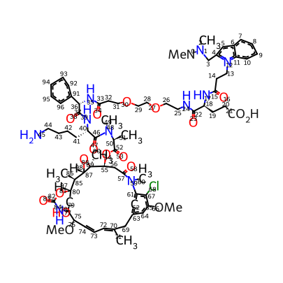 CNN(C)Cc1cc2ccccc2n1CCC(=O)N[C@@H](CCC(=O)O)C(=O)NCCOCCOCCC(=O)N[C@H](C(=O)N[C@@H](CCCCN)C(=O)N(C)[C@@H](C)C(=O)O[C@H]1CC(=O)N(C)c2cc(cc(OC)c2Cl)C/C(C)=C/C=C/[C@@H](OC)[C@@]2(O)C[C@H](OC(=O)N2)[C@@H](C)[C@@H]2O[C@@]12C)c1ccccc1